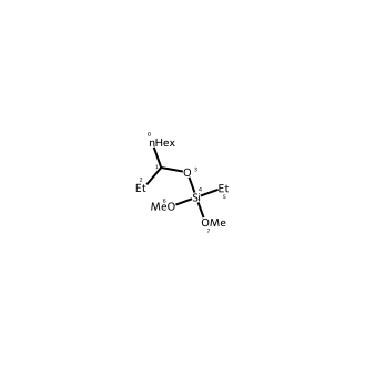 CCCCCCC(CC)O[Si](CC)(OC)OC